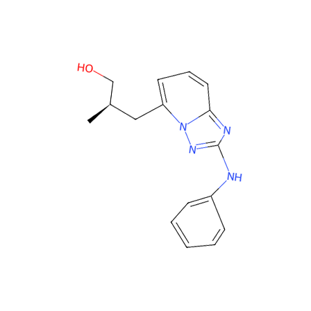 C[C@@H](CO)Cc1cccc2nc(Nc3ccccc3)nn12